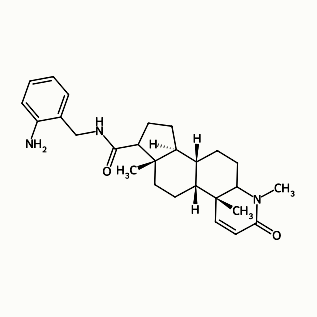 CN1C(=O)C=C[C@@]2(C)C1CC[C@@H]1[C@H]2CC[C@]2(C)C(C(=O)NCc3ccccc3N)CC[C@@H]12